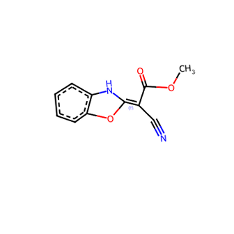 COC(=O)/C(C#N)=C1\Nc2ccccc2O1